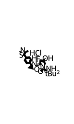 Cc1ncsc1-c1ccc(C2(NC(=O)[C@@H]3[C@@H](F)[C@@H](O)CN3C(=O)[C@@H](N)C(C)(C)C)CC2)cc1.Cl